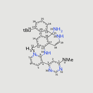 CNc1cc(-c2cccnc2Nc2c(C)ccc3c2C=CNC3(N)c2cccc(C(C)(C)C)c2)ncn1